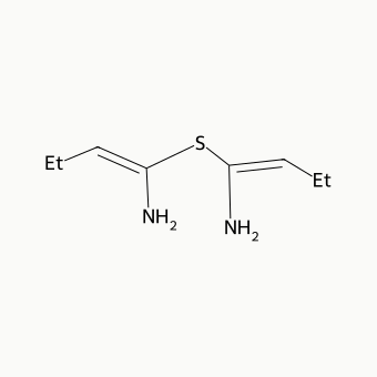 CC/C=C(\N)S/C(N)=C/CC